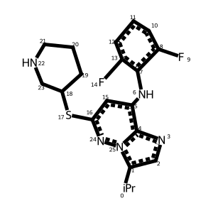 CC(C)c1cnc2c(Nc3c(F)cccc3F)cc(SC3CCCNC3)nn12